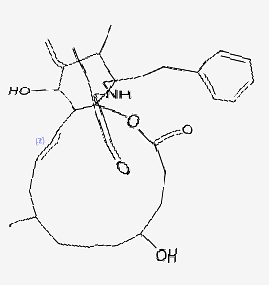 C=C1C(C)C2C(Cc3ccccc3)NC(=O)C23OC(=O)CCC(O)CCCC(C)C/C=C\C3C1O